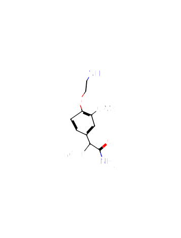 CCCCCCCCC(C(N)=O)c1ccc(OCCN)c(OC)c1